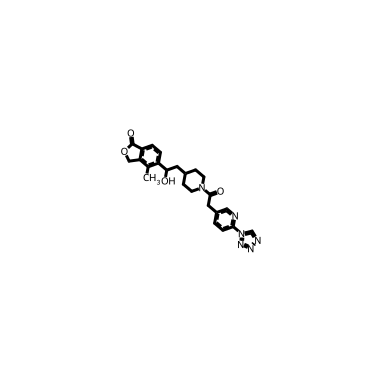 Cc1c(C(O)CC2CCN(C(=O)Cc3ccc(-n4cnnn4)nc3)CC2)ccc2c1COC2=O